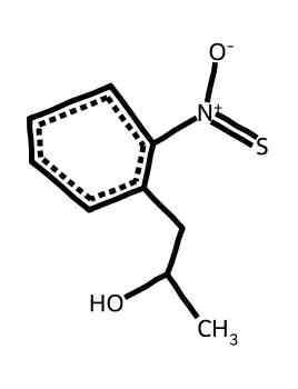 CC(O)Cc1ccccc1[N+]([O-])=S